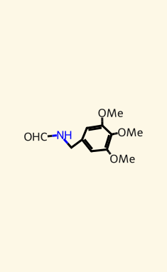 COc1cc(CNC=O)cc(OC)c1OC